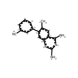 Cc1cc2c(N)nc(N)nc2cc1-c1cccc(C#N)c1